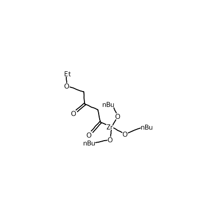 CCCC[O][Zr]([O]CCCC)([O]CCCC)[C](=O)CC(=O)COCC